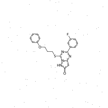 O=c1cc2nc(-c3cccc(F)c3)nc(SCCCOc3ccccc3)n2[nH]1